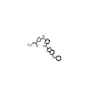 C=CC(=O)N1CCC(Nc2nccc(Nc3nc4ccc(Oc5ccccc5)nc4s3)n2)C1